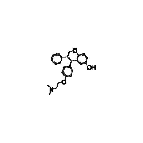 CN(C)CCOc1ccc([C@@H]2c3cc(O)ccc3OC[C@H]2c2ccccc2)cc1